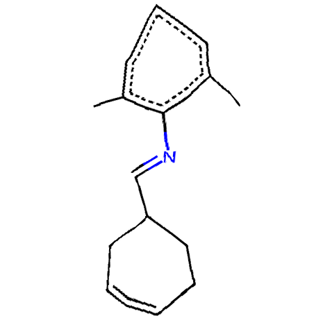 Cc1cccc(C)c1/N=C/C1CC=CCC1